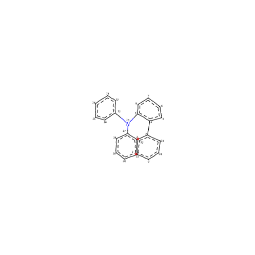 c1ccc(-c2ccccc2N(c2ccccc2)c2ccccc2)cc1